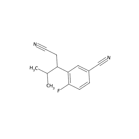 CC(C)C(CC#N)c1cc(C#N)ccc1F